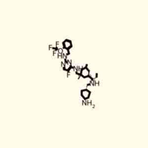 CC[C@H](NC[C@H]1CC[C@@H](N)CC1)[C@@H]1CC(C)C[C@@](C)(CNc2nc(NCc3ccccc3OC(F)(F)F)ncc2F)C1